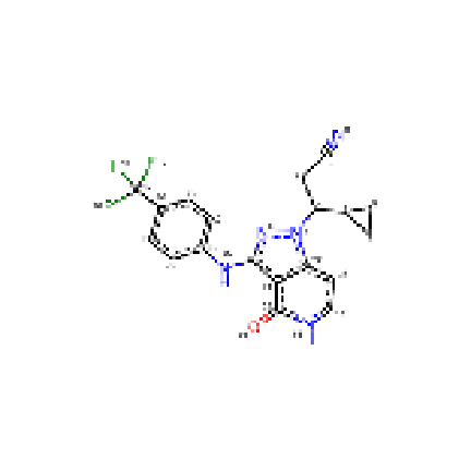 N#CCC(C1CC1)n1nc(Nc2ccc(C(F)(F)F)cc2)c2c(=O)[nH]ccc21